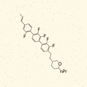 C/C=C/c1ccc(-c2ccc(-c3ccc(CCC4CCC(CCC)OC4)c(F)c3F)c(F)c2F)c(F)c1